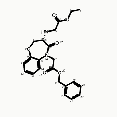 CCOC(=O)CN[C@H]1COc2ccccc2N(CC(=O)OCc2ccccc2)C1=O